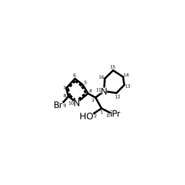 CC(C)C(O)C(c1cccc(Br)n1)N1CCCCC1